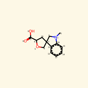 CN1CC2(COC(C(=O)O)C2)c2ccccc21